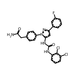 NC(=O)Cc1ccc(-n2nc(-c3cccc(F)c3)cc2NC(=O)Nc2cccc(Cl)c2Cl)cc1